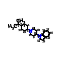 CC(C)[C@H]1CC[C@H](N2CCC(n3ccc4ccccc43)CC2)CC1